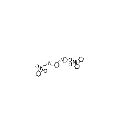 CN(CCCN1C(=O)c2ccccc2C1=O)Cc1cccc(CN2CCC(OC(=O)Nc3ccccc3-c3ccccc3)CC2)c1